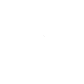 CC(C)c1ccc(N(C)c2ccc3c(c2)CCC3)cc1